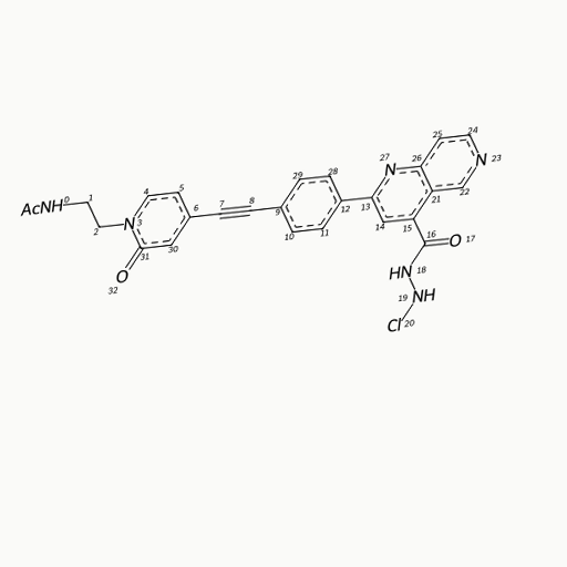 CC(=O)NCCn1ccc(C#Cc2ccc(-c3cc(C(=O)NNCl)c4cnccc4n3)cc2)cc1=O